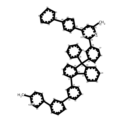 Cc1ccc(-c2cccc(-c3cccc(-c4cccc5c4-c4ccccc4C5(c4ccccc4)c4cccc(-c5nc(C)cc(-c6ccc(-c7ccccc7)cc6)n5)c4)c3)c2)cn1